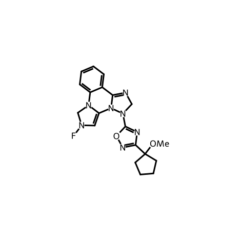 COC1(c2noc(N3CN=C4c5ccccc5N5CN(F)C=C5N43)n2)CCCC1